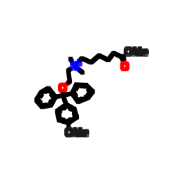 COC(=O)CCCCC[N+](C)(C)CCOC(c1ccccc1)(c1ccccc1)c1ccc(OC)cc1